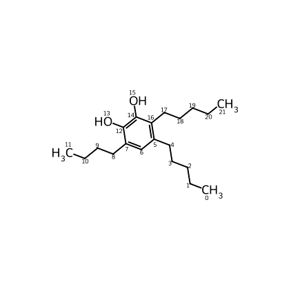 CCCCCc1cc(CCCC)c(O)c(O)c1CCCCC